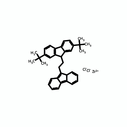 CC(C)(C)c1ccc2c(c1)C(CCC1=c3ccccc3=C3C=CC=CC31)c1cc(C(C)(C)C)ccc1-2.[Cl-].[Cl-].[Zr+2]